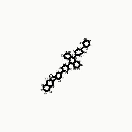 c1ccc(-c2ccc(-c3c4ccccc4c(-c4ccc(-c5ccc6c(c5)oc5cc7ccccc7cc56)nc4)c4ccccc34)cc2)cc1